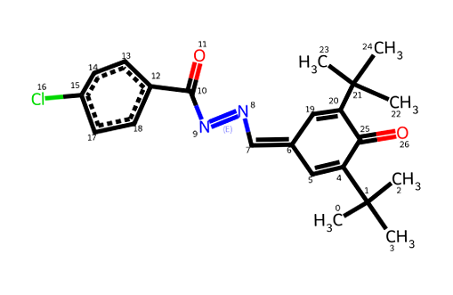 CC(C)(C)C1=CC(=C/N=N/C(=O)c2ccc(Cl)cc2)C=C(C(C)(C)C)C1=O